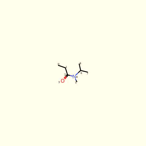 CCC(=O)N(C)C(C)C